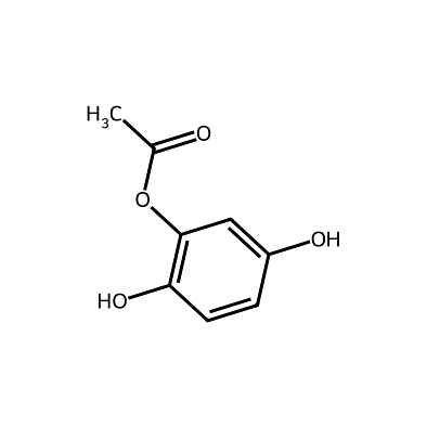 CC(=O)Oc1cc(O)ccc1O